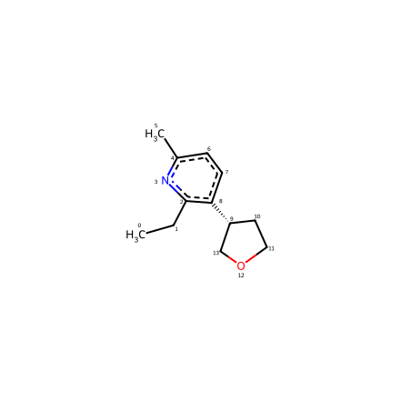 CCc1nc(C)ccc1[C@@H]1CCOC1